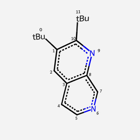 CC(C)(C)c1cc2ccncc2nc1C(C)(C)C